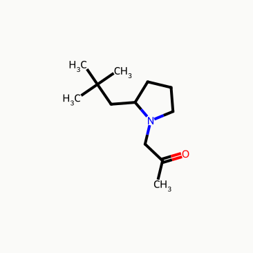 CC(=O)CN1CCCC1CC(C)(C)C